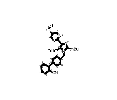 CCCCc1nc(-c2ncc(OCC)cn2)c(C=O)n1Cc1ccc(-c2ccccc2C#N)cc1